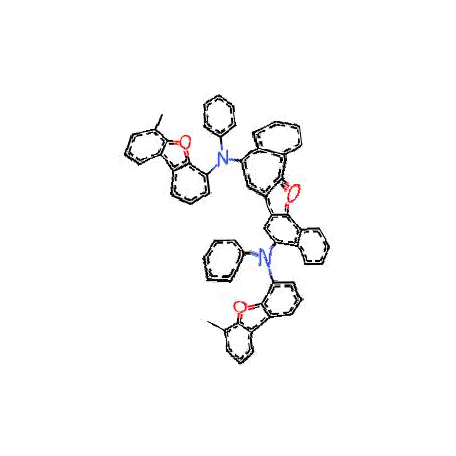 Cc1cccc2c1oc1c(N(c3ccccc3)c3cc4c5cc(N(c6ccccc6)c6cccc7c6oc6c(C)cccc67)c6ccccc6c5oc4c4ccccc34)cccc12